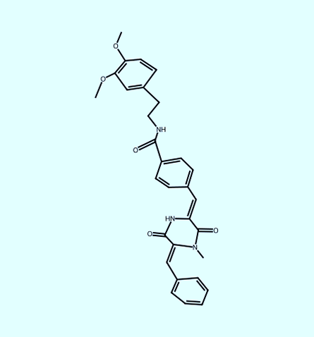 COc1ccc(CCNC(=O)c2ccc(C=c3[nH]c(=O)c(=Cc4ccccc4)n(C)c3=O)cc2)cc1OC